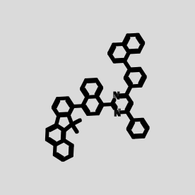 CC1(C)c2c(cccc2-c2ccc(-c3nc(-c4ccccc4)cc(-c4cccc(-c5cccc6ccccc56)c4)n3)c3ccccc23)-c2ccc3ccccc3c21